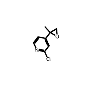 CC1(c2ccnc(Cl)c2)CO1